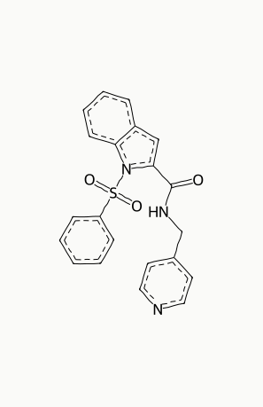 O=C(NCc1ccncc1)c1cc2ccccc2n1S(=O)(=O)c1ccccc1